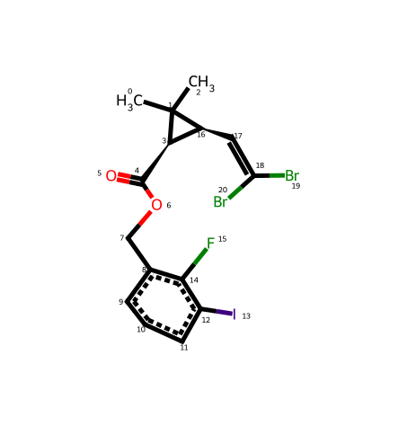 CC1(C)[C@H](C(=O)OCc2cccc(I)c2F)[C@@H]1C=C(Br)Br